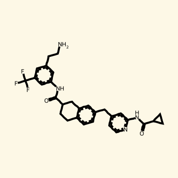 NCCc1cc(NC(=O)C2CCc3ccc(Cc4ccnc(NC(=O)C5CC5)c4)cc3C2)cc(C(F)(F)F)c1